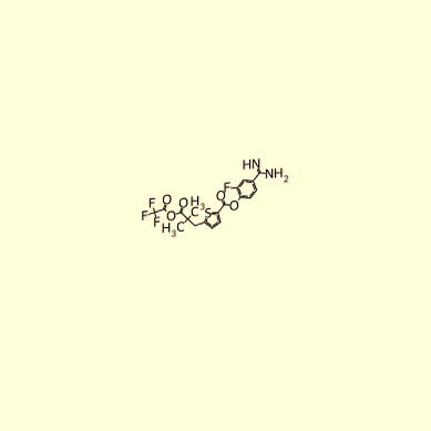 CC(C)(Cc1ccc(C(=O)Oc2ccc(C(=N)N)cc2F)s1)C(=O)OC(=O)C(F)(F)F